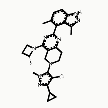 Cc1ccc2[nH]nc(C)c2c1-c1nc2c(c(N3CC[C@H]3C)n1)CN(c1c(Cl)c(C3CC3)nn1C)CC2